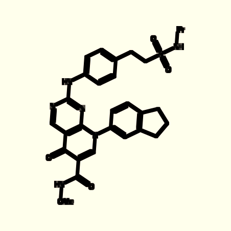 CONC(=O)c1cn(-c2ccc3c(c2)CCC3)c2nc(Nc3ccc(CCS(=O)(=O)NC(C)C)cc3)ncc2c1=O